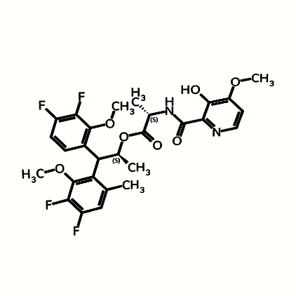 COc1ccnc(C(=O)N[C@@H](C)C(=O)O[C@@H](C)C(c2ccc(F)c(F)c2OC)c2c(C)cc(F)c(F)c2OC)c1O